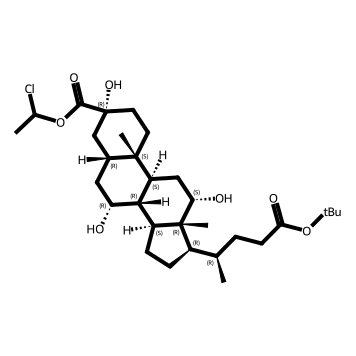 CC(Cl)OC(=O)[C@@]1(O)CC[C@@]2(C)[C@H](C[C@@H](O)[C@@H]3[C@@H]2C[C@H](O)[C@]2(C)[C@@H]([C@H](C)CCC(=O)OC(C)(C)C)CC[C@@H]32)C1